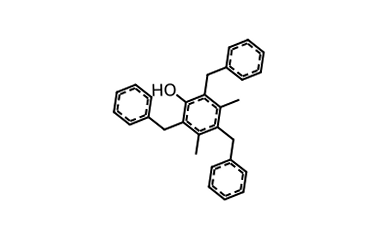 Cc1c(Cc2ccccc2)c(C)c(Cc2ccccc2)c(O)c1Cc1ccccc1